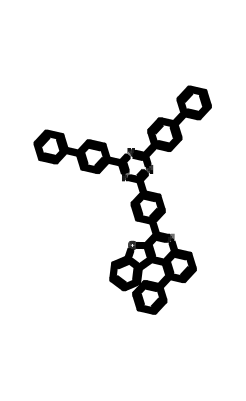 c1ccc(-c2ccc(-c3nc(-c4ccc(-c5ccccc5)cc4)nc(-c4ccc(-c5nc6cccc(-c7ccccc7)c6c6c5oc5ccccc56)cc4)n3)cc2)cc1